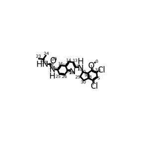 COc1c(Cl)cc(Cl)c2c1C(Nc1ccc3cc(NC(=O)NC(C)C)ccc3n1)CC2